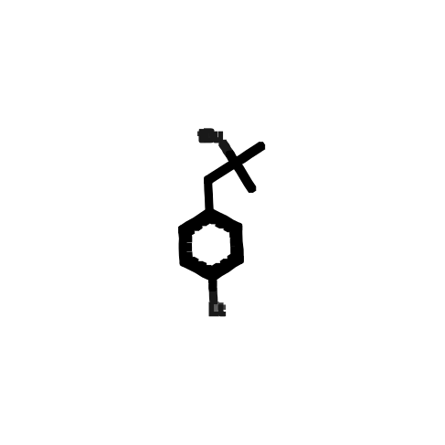 CCc1ccc(CC(C)(C)C(C)(C)C)cc1